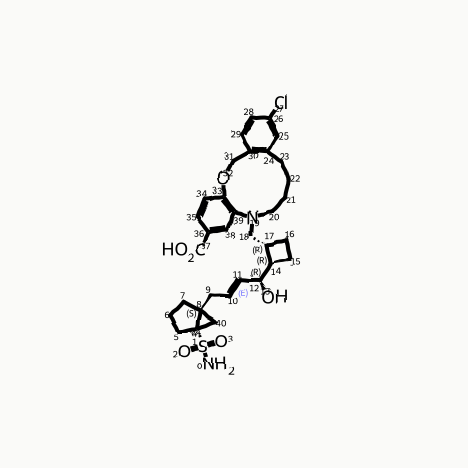 NS(=O)(=O)[C@]12CCC[C@]1(C/C=C/[C@H](O)[C@@H]1CC[C@H]1CN1CCCCc3cc(Cl)ccc3COc3ccc(C(=O)O)cc31)C2